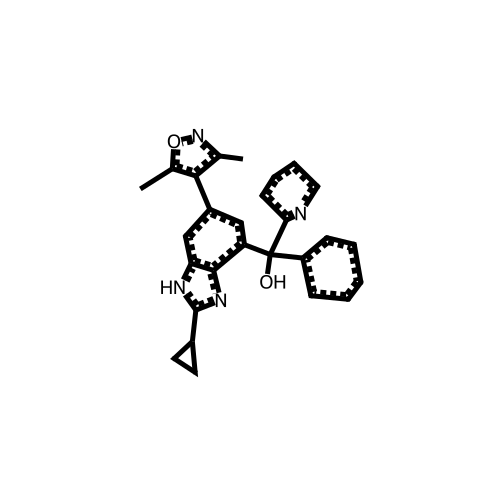 Cc1noc(C)c1-c1cc(C(O)(c2ccccc2)c2ccccn2)c2nc(C3CC3)[nH]c2c1